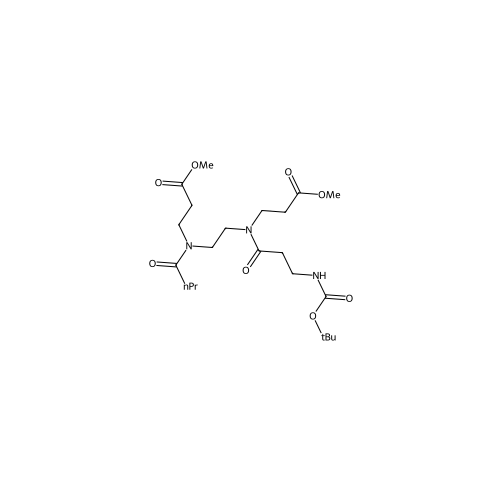 CCCC(=O)N(CCC(=O)OC)CCN(CCC(=O)OC)C(=O)CCNC(=O)OC(C)(C)C